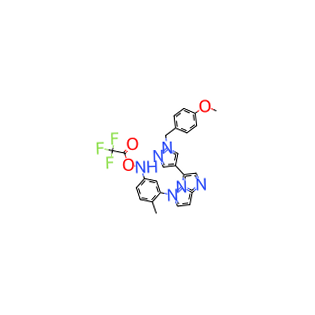 COc1ccc(Cn2cc(-c3cnc4ccn(-c5cc(NOC(=O)C(F)(F)F)ccc5C)n34)cn2)cc1